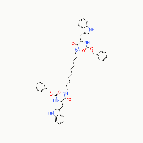 O=C(NC(Cc1c[nH]c2ccccc12)C(=O)NCCCCCCCCCCNC(=O)C(Cc1c[nH]c2ccccc12)NC(=O)OCc1ccccc1)OCc1ccccc1